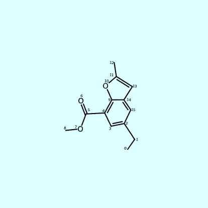 CCc1cc(C(=O)OC)c2oc(C)cc2c1